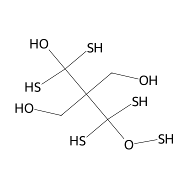 OCC(CO)(C(O)(S)S)C(S)(S)OS